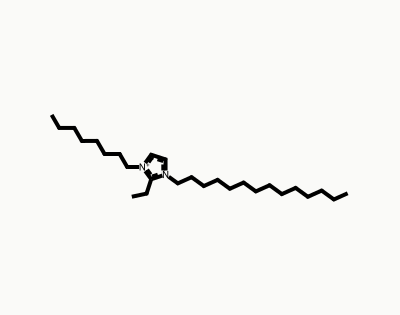 CCCCCCCCCCCCCCn1cc[n+](CCCCCCCC)c1CC